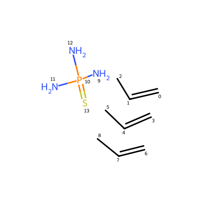 C=CC.C=CC.C=CC.NP(N)(N)=S